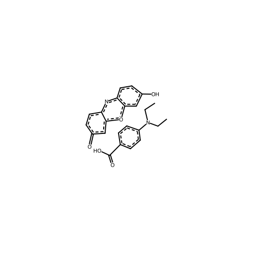 CCN(CC)c1ccc(C(=O)O)cc1.O=c1ccc2nc3ccc(O)cc3oc-2c1